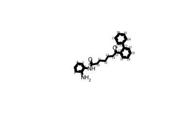 Nc1ccccc1NC(=O)CCCCCC(=O)c1ccccc1-c1ccccc1